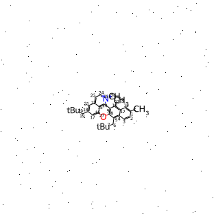 Cc1ccc2c(CC(C)(C)C)c3c(c(C)c2c1)-c1c2c(cc(CC(C)(C)C)cc2cc[n+]1C)O3